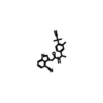 Cc1cc(C(C)NC(=O)Cn2cnc3cccc(C#N)c32)ccc1C(C)(C)C#N